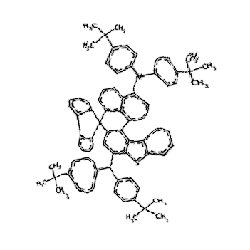 CC(C)(C)c1ccc(C(c2ccc(C(C)(C)C)cc2)c2cc3c(c4c2sc2ccccc24)-c2ccc(N(c4ccc(C(C)(C)C)cc4)c4ccc(C(C)(C)C)cc4)c4cccc(c24)C32c3ccccc3-c3ccccc32)cc1